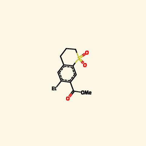 CCc1cc2c(cc1C(=O)OC)S(=O)(=O)CCC2